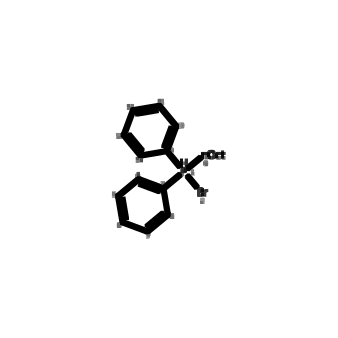 CCCCCCCC[PH](Br)(c1ccccc1)c1ccccc1